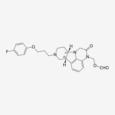 O=COCN1C(=O)CN2c3c(cccc31)[C@@H]1CN(CCCOc3ccc(F)cc3)CC[C@@H]12